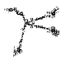 O=C(CCOCC(COCCC(=O)NCCOCCOCCOCCOC[C@]12C[C@H](OO1)[C@H](NC(=O)C(F)(F)F)[C@@H](O)[C@H]2O)(COCCC(=O)NCCOCCOCCOCCOC[C@@]12COC(O1)[C@H](NC(=O)C(F)(F)F)[C@@H](O)[C@H]2O)NC(=O)CCCOc1ccc2nc(-c3cn(-c4ccc(O)c(F)c4)nn3)ccc2c1)NCCOCCOCCOCCOC[C@]12C[C@H](OO1)[C@H](NC(=O)C(F)(F)F)[C@@H](O)[C@H]2O